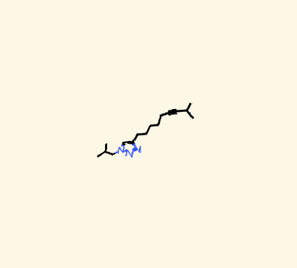 CC(C)C#CCCCCCc1cn(CC(C)C)nn1